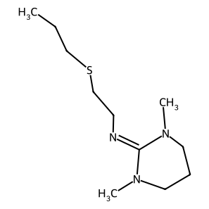 CCCSCCN=C1N(C)CCCN1C